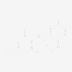 Cc1ccc(Nc2c(S)cnc3ccc(F)cc23)c(C(=O)O)c1